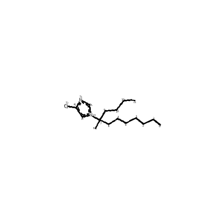 CCCCCCCC(C)(CCCC)n1cnc(Cl)c1